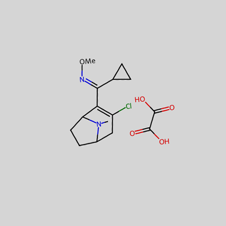 CON=C(C1=C(Cl)CC2CCC1N2C)C1CC1.O=C(O)C(=O)O